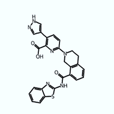 O=C(Nc1nc2ccccc2s1)c1cccc2c1CN(c1ccc(-c3cn[nH]c3)c(C(=O)O)n1)CC2